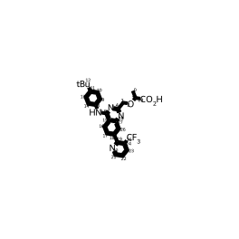 CC(OCc1nc(Nc2ccc(C(C)(C)C)cc2)c2ccc(-c3ncccc3C(F)(F)F)cc2n1)C(=O)O